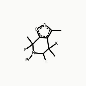 Cc1noc2c1[C](C)([K])C(I)N(C(C)C)C2(C)F